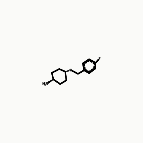 N[C@H]1CC[C@H](OCc2ccc(F)cc2)CC1